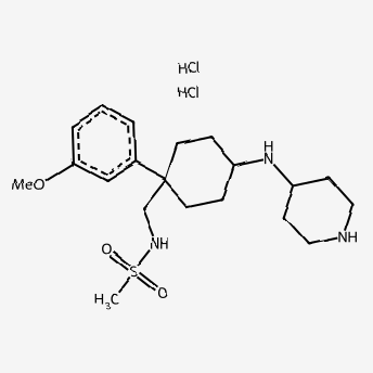 COc1cccc(C2(CNS(C)(=O)=O)CCC(NC3CCNCC3)CC2)c1.Cl.Cl